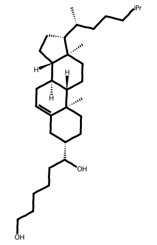 CC(C)CCC[C@@H](C)[C@H]1CC[C@H]2[C@@H]3CC=C4C[C@@H](C(O)CCCCCO)CC[C@]4(C)[C@H]3CC[C@]12C